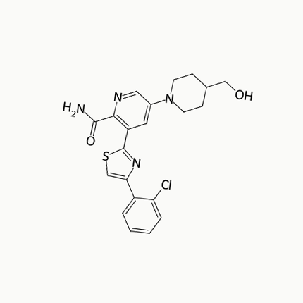 NC(=O)c1ncc(N2CCC(CO)CC2)cc1-c1nc(-c2ccccc2Cl)cs1